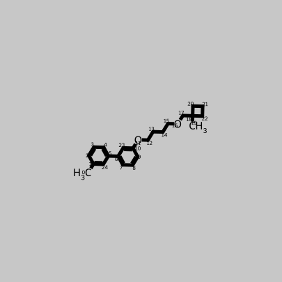 Cc1cccc(-c2cccc(OCCCCOCC3(C)CCC3)c2)c1